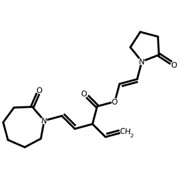 C=CC(C=CN1CCCCCC1=O)C(=O)OC=CN1CCCC1=O